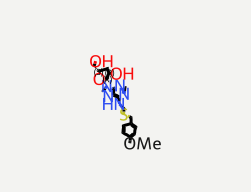 COc1ccc(CSCNc2ncnc3c2ncn3[C@@H]2O[C@H](CO)C[C@H]2O)cc1